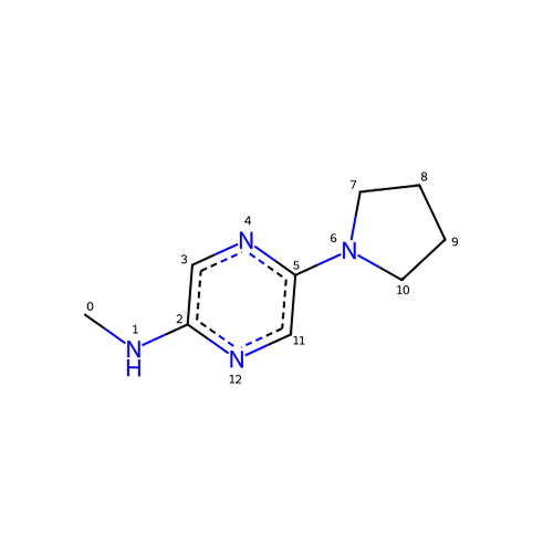 CNc1cnc(N2CCCC2)cn1